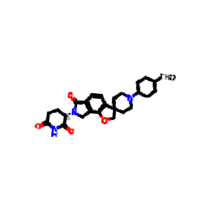 O=CC1CCC(N2CCC3(CC2)COc2c3ccc3c2CN([C@H]2CCC(=O)NC2=O)C3=O)CC1